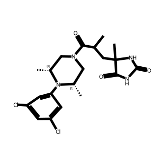 CC(CC1(C)NC(=O)NC1=O)C(=O)N1C[C@@H](C)N(c2cc(Cl)cc(Cl)c2)[C@@H](C)C1